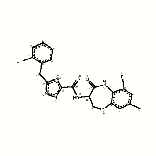 Cc1cc(F)c2c(c1)OCC(NC(=O)c1nnc(Cc3ccccc3F)[nH]1)C(=O)N2